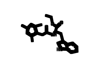 CCOC(=O)C(Cc1c[nH]c2ccccc12)NC(=O)Cc1c(C)cc(C)cc1C